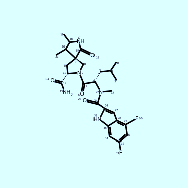 CC(C)C[C@@H](C(=O)N1C[C@]2(C[C@H]1C(N)=O)C(=O)NC(C)C2C)N(C)C(=O)c1cc2c(F)cc(F)cc2[nH]1